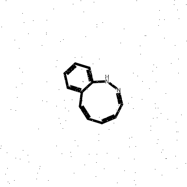 c1ccn[nH]c2ccccc2cc1